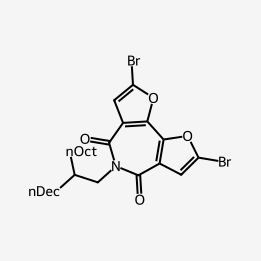 CCCCCCCCCCC(CCCCCCCC)Cn1c(=O)c2cc(Br)oc2c2oc(Br)cc2c1=O